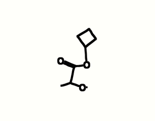 CC([O])C(=O)OC1CCC1